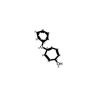 OC1C=CC=C(Oc2ccccc2)C=C1